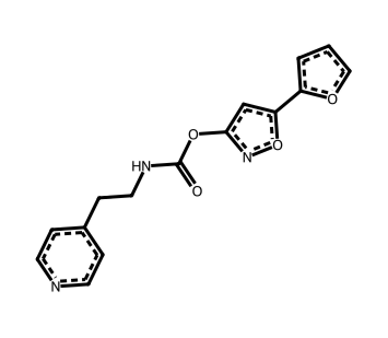 O=C(NCCc1ccncc1)Oc1cc(-c2ccco2)on1